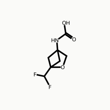 O=C(O)NC12COC(C(F)F)(C1)C2